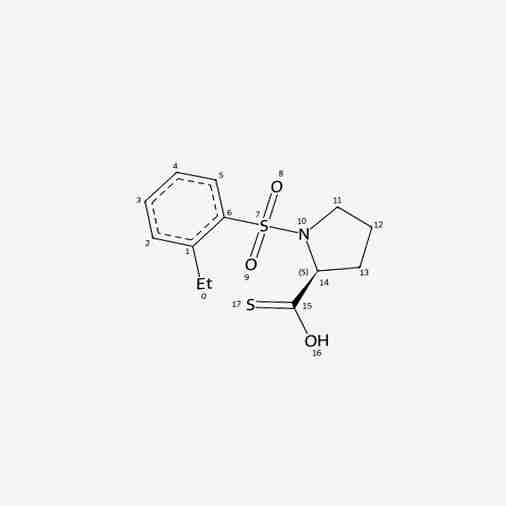 CCc1ccccc1S(=O)(=O)N1CCC[C@H]1C(O)=S